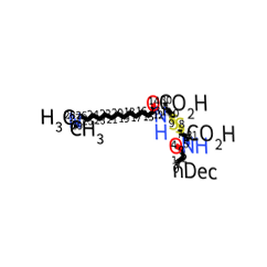 CCCCCCCCCCCCC(=O)NC(CSSCC(NC(=O)CCCCCCCCCCCCN(C)C)C(=O)O)C(=O)O